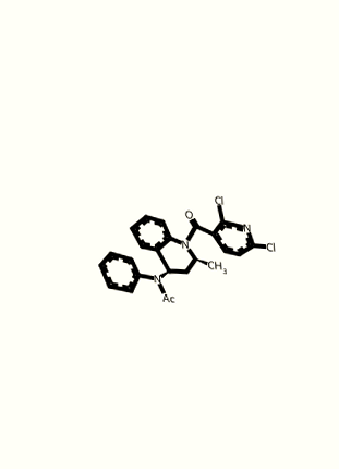 CC(=O)N(c1ccccc1)[C@@H]1C[C@H](C)N(C(=O)c2ccc(Cl)nc2Cl)c2ccccc21